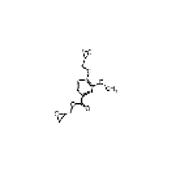 COc1cc(C(=O)OCC2CO2)ccc1OCC1CO1